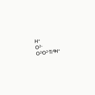 [H+].[H+].[O-2].[O-2].[O-2].[Ti+4]